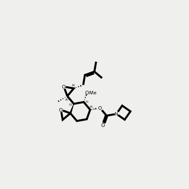 CO[C@@H]1[C@H](OC(=O)N2CCC2)CCC2(CO2)[C@H]1[C@@]1(C)O[C@@H]1CC=C(C)C